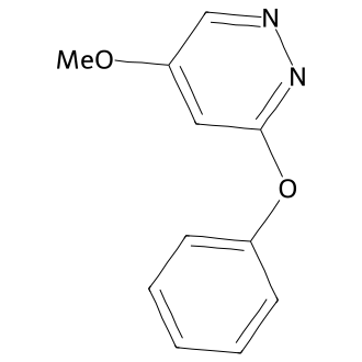 COc1cnnc(Oc2ccccc2)c1